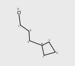 ClCCC[C]1CCC1